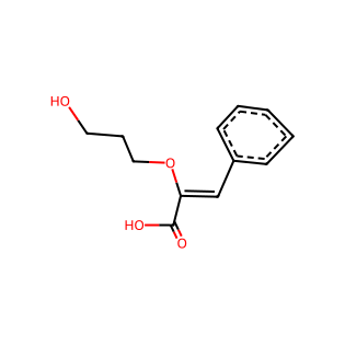 O=C(O)C(=Cc1ccccc1)OCCCO